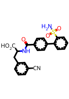 N#Cc1cccc(CC(NC(=O)c2ccc(-c3ccccc3S(N)(=O)=O)cc2)C(=O)O)c1